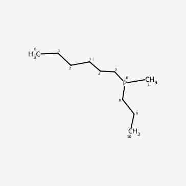 CCCCCCP(C)CCC